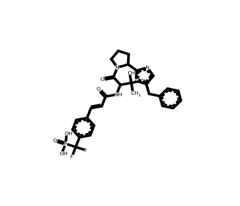 CC(C)(C)C(NC(=O)/C=C/c1ccc(C(F)(F)P(=O)(O)O)cc1)C(=O)N1CCCC1c1ncc(Cc2ccccc2)s1